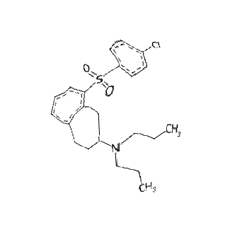 CCCN(CCC)C1CCc2cccc(S(=O)(=O)c3ccc(Cl)cc3)c2C1